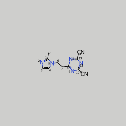 Cc1nccn1CCc1nc(C#N)nc(C#N)n1